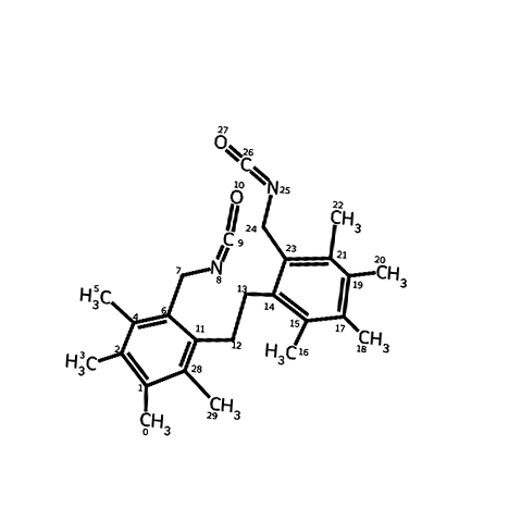 Cc1c(C)c(C)c(CN=C=O)c(CCc2c(C)c(C)c(C)c(C)c2CN=C=O)c1C